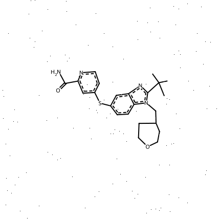 CC(C)(C)c1nc2cc(Sc3ccnc(C(N)=O)c3)ccc2n1CC1CCOCC1